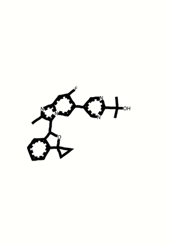 Cc1nc2cc(F)c(-c3cnc(C(C)(C)O)nc3)cn2c1C1OC2(CC2)c2ccccc21